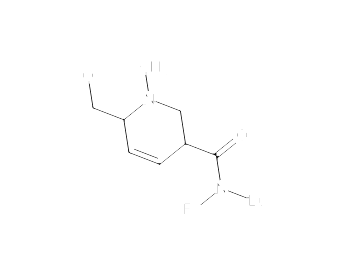 CCN(CC)C(=O)C1C=CC(CO)N(C)C1